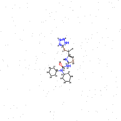 CC(Sc1nnn[nH]1)c1csc(NC(=O)N(C2CCCCC2)C2CCCCC2)n1